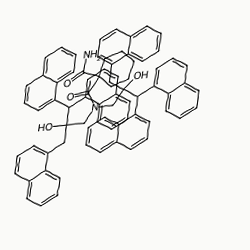 NC(=O)C1(C(=O)N(CC(O)(Cc2cccc3ccccc23)C(c2cccc3ccccc23)c2cccc3ccccc23)CC(O)(Cc2cccc3ccccc23)C(c2cccc3ccccc23)c2cccc3ccccc23)CCCCC1